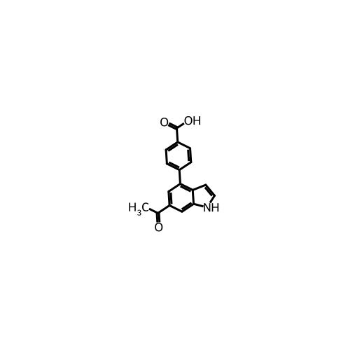 CC(=O)c1cc(-c2ccc(C(=O)O)cc2)c2cc[nH]c2c1